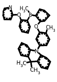 CB(c1ccccc1Oc1ccccn1)c1ccccc1Oc1cc(N2c3ccccc3C(C)(C)c3ccccc32)ccc1C